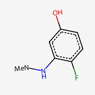 CNNc1cc(O)ccc1F